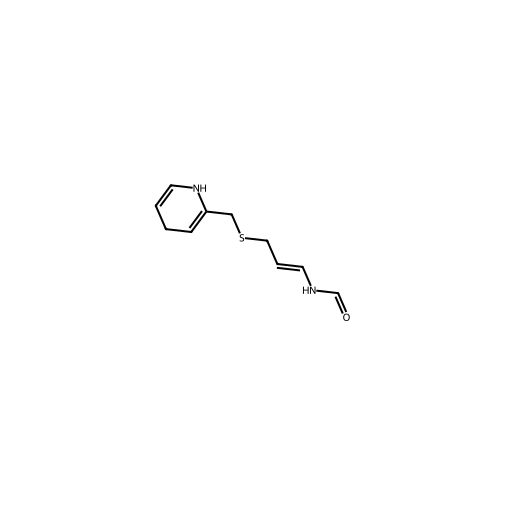 O=CNC=CCSCC1=CCC=CN1